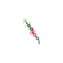 CCCCC1CCC(C2CCC(C(=O)Oc3ccc(-c4cc(F)c(C#CC(F)(F)F)c(F)c4)c(F)c3)CC2)CC1